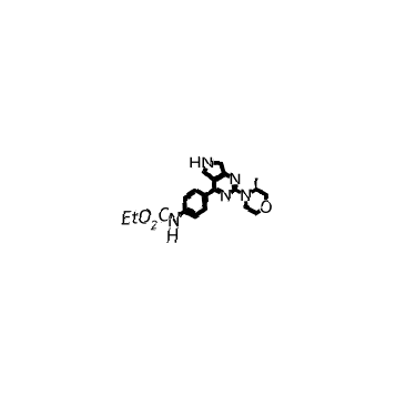 CCOC(=O)Nc1ccc(-c2nc(N3CCOC[C@@H]3C)nc3c2CNC3)cc1